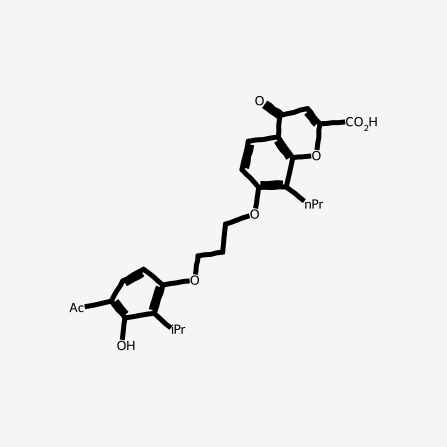 CCCc1c(OCCCOc2ccc(C(C)=O)c(O)c2C(C)C)ccc2c(=O)cc(C(=O)O)oc12